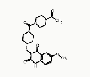 COc1ccc2[nH]c(=O)n(C[C@H]3CC[C@H](C(=O)N4CCN(C(C)=O)CC4)CC3)c(=O)c2c1